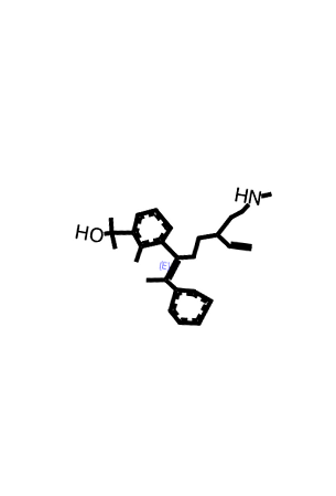 C=CC(CCNC)CC/C(=C(/C)c1ccccc1)c1cccc(C(C)(C)O)c1C